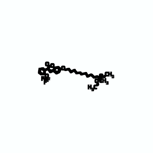 CCO[Si](C)(CCCCCCCCCCCCOc1ccc2cc(-c3ccccc3OC(F)(F)F)c(=O)oc2c1)OCC